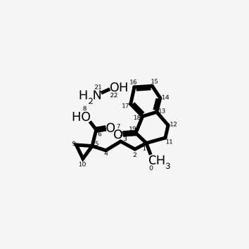 CC1(CCCC2(C(=O)O)CC2)CCc2ccccc2C1=O.NO